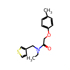 CCN(Cc1ccsc1)C(=O)COc1ccc(C)cc1